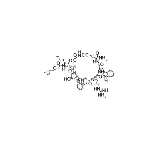 CCCC[C@H](NC(=O)COCCOC)C(=O)N[C@H]1CCC(=O)NCCCC[C@@H](C(N)=O)NC(=O)[C@H](Cc2c[nH]c3ccccc23)NC(=O)[C@H](CCCNC(=N)N)NC(=O)[C@@H](Cc2ccccc2)NC(=O)[C@@H]2C[C@@H](O)CN2C1=O